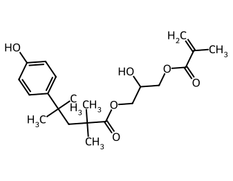 C=C(C)C(=O)OCC(O)COC(=O)C(C)(C)CC(C)(C)c1ccc(O)cc1